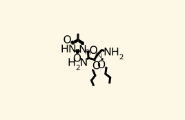 CCCCOC[C@@]1(CN)O[C@@H](n2cc(C)c(=O)[nH]c2=O)C(N)C1OCCCC